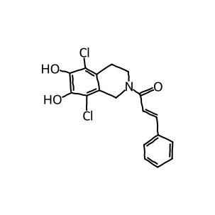 O=C(C=Cc1ccccc1)N1CCc2c(Cl)c(O)c(O)c(Cl)c2C1